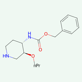 CCCO[C@H]1CNCC[C@@H]1NC(=O)OCc1ccccc1